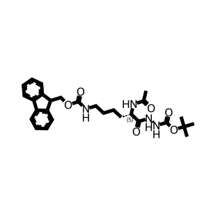 CC(=O)N[C@@H](CCCCNC(=O)OCC1c2ccccc2-c2ccccc21)C(=O)NNC(=O)OC(C)(C)C